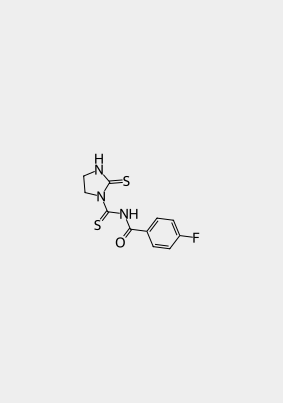 O=C(NC(=S)N1CCNC1=S)c1ccc(F)cc1